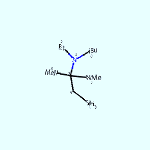 CCC(C)N(CC)C(C[SiH3])(NC)NC